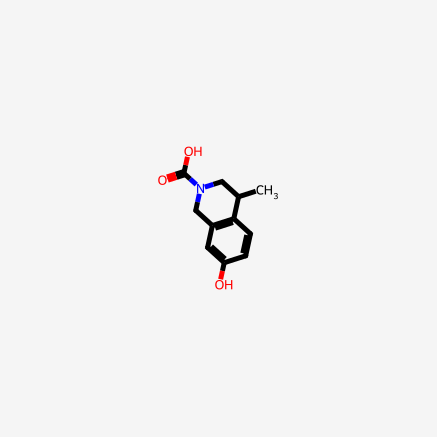 CC1CN(C(=O)O)Cc2cc(O)ccc21